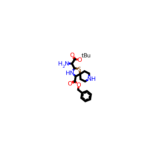 CC(C)(C)OC(=O)C(N)C1NC(C(=O)OCc2ccccc2)C2(CCNCC2)S1